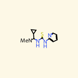 CNC(NC(=S)Nc1ccccn1)C1CC1